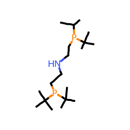 CC(C)P(CCNCCP(C(C)(C)C)C(C)(C)C)C(C)(C)C